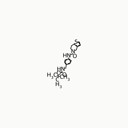 CC(C)(C)OC(=O)NCc1ccc(NC(=O)N2CCc3sccc3C2)cc1